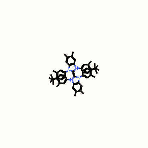 Cc1cc2c(cc1C)N(c1ccc(C(C)C)c(C)c1)C(=C1N(c3ccc(C(C)C)c(C)c3)c3cc(C)c(C)cc3N1c1ccc(C(C)C)c(C)c1)N2c1ccc(C(C)C)c(C)c1